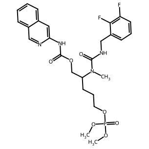 COP(=O)(OC)OCCCC(COC(=O)Nc1cc2ccccc2cn1)N(C)C(=O)NCc1cccc(F)c1F